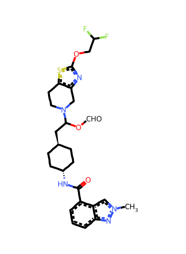 Cn1cc2c(C(=O)N[C@H]3CC[C@H](CC(OC=O)N4CCc5sc(OCC(F)F)nc5C4)CC3)cccc2n1